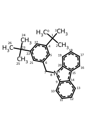 CC(C)(C)c1cc(Cn2c3ccccc3c3ccccc32)cc(C(C)(C)C)c1